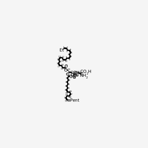 CC/C=C\C/C=C\C/C=C\C/C=C\C/C=C\C/C=C\CCC(=O)OC[C@H](COP(=O)(O)OC[C@H](N)C(=O)O)OC(=O)CCCCCC/C=C\C/C=C\C/C=C\CCCCC